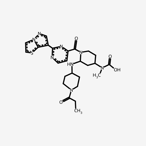 CCC(=O)N1CCC(NC2CC(N(C)C(=O)O)CCN2C(=O)c2ccnc(-c3cnn4ccsc34)n2)CC1